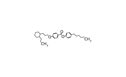 CCCCCCc1ccc(OC(=O)c2ccc(OCCCC3CCCCC3CCC)cc2)cc1